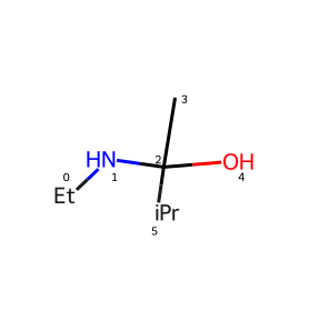 CCNC(C)(O)C(C)C